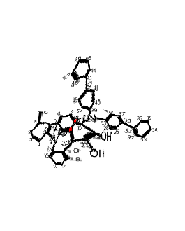 CC1CC=Cc2c1c1ccccc1n2-c1ccccc1-c1c(O)c(O)c(N(c2ccc(-c3ccccc3)cc2)c2ccc(-c3ccccc3)cc2)c(O)c1O